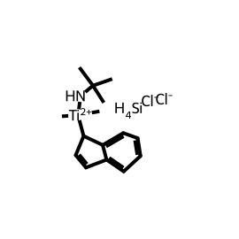 CC(C)(C)[NH][Ti+2]([CH3])([CH3])[CH]1C=Cc2ccccc21.[Cl-].[Cl-].[SiH4]